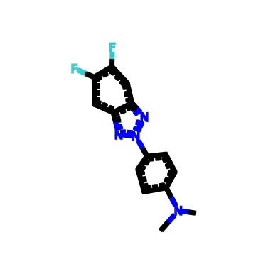 CN(C)c1ccc(-n2nc3cc(F)c(F)cc3n2)cc1